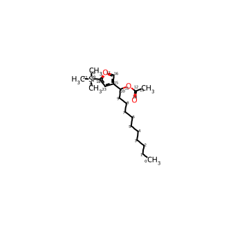 CCCCCCCCCCC(OC(C)=O)c1coc([Si](C)(C)C)c1